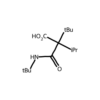 CC(C)C(C(=O)O)(C(=O)NC(C)(C)C)C(C)(C)C